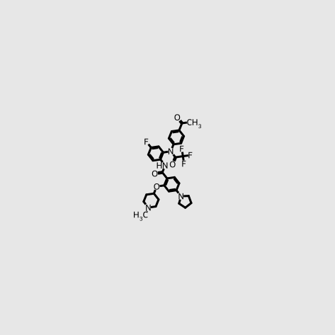 CC(=O)c1ccc(N(C(=O)C(F)(F)F)c2cc(F)ccc2NC(=O)c2ccc(N3CCCC3)cc2OC2CCN(C)CC2)cc1